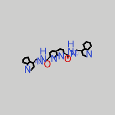 O=C(N/N=C/c1ccnc2ccccc12)c1ccc2ccc(C(=O)N/N=C/c3ccnc4ccccc34)nc2n1